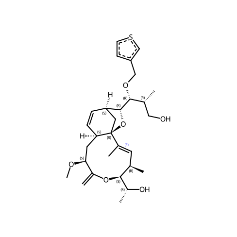 C=C1O[C@H]([C@@H](C)O)[C@H](C)/C=C(\C)[C@@]23C[C@@H](C=C[C@@H]2C[C@@H]1OC)[C@H]([C@H](OCc1ccsc1)[C@H](C)CO)O3